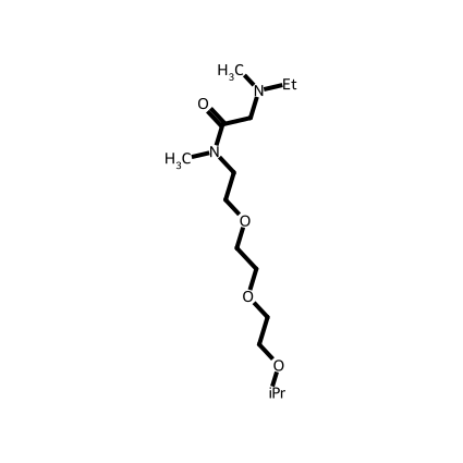 CCN(C)CC(=O)N(C)CCOCCOCCOC(C)C